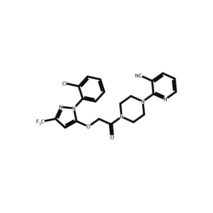 N#Cc1cccnc1N1CCN(C(=O)COc2cc(C(F)(F)F)nn2-c2ccccc2Cl)CC1